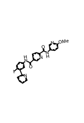 COc1ccc(NC(=O)c2ccc(C(=O)Nc3ccc(I)c(-c4ccccn4)c3)cn2)cn1